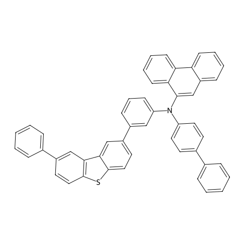 c1ccc(-c2ccc(N(c3cccc(-c4ccc5sc6ccc(-c7ccccc7)cc6c5c4)c3)c3cc4ccccc4c4ccccc34)cc2)cc1